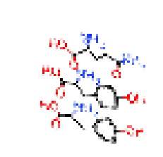 NC(=O)CC[C@H](N)C(=O)O.N[C@@H](Cc1ccc(O)cc1)C(=O)O.N[C@@H](Cc1ccc(O)cc1)C(=O)O